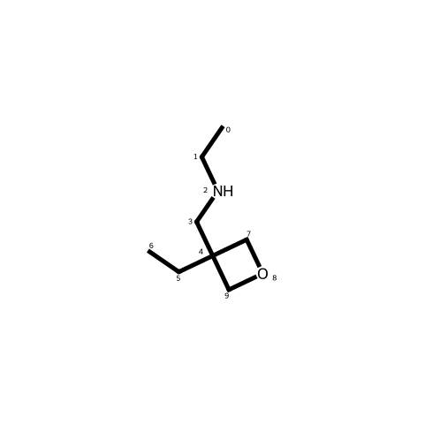 CCNCC1(CC)COC1